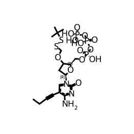 CCC#Cc1cn([C@H]2CC(OCSSC(C)(C)C)[C@@H](COP(=O)(O)OP(=O)(O)OP(=O)(O)O)O2)c(=O)nc1N